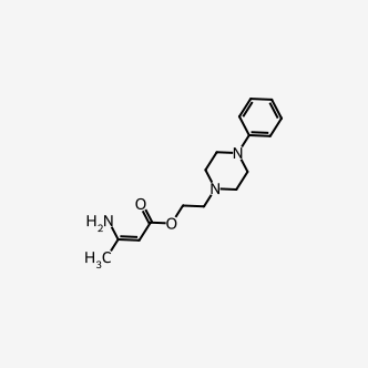 CC(N)=CC(=O)OCCN1CCN(c2ccccc2)CC1